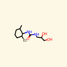 CCC1CCCC(C)C1NC(=O)NCC(O)CO